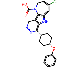 O=C(O)N1CC=C(Cl)C=c2[nH]c3c(c21)CN=NC=3[C@H]1CC[C@@H](Oc2ccccc2)CC1